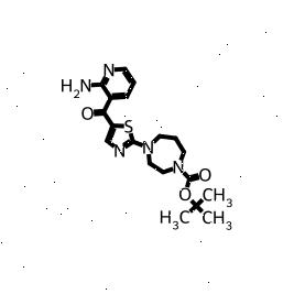 CC(C)(C)OC(=O)N1CCCN(c2ncc(C(=O)c3cccnc3N)s2)CC1